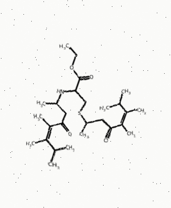 CCOC(=O)C(CSC(C)CC(=O)C(C)=C(C)C(C)C)NC(C)CC(=O)C(C)=C(C)C(C)C